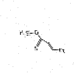 CCC=CC(=S)O[SiH3]